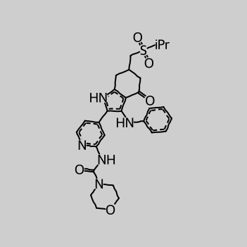 CC(C)S(=O)(=O)CC1CC(=O)c2c([nH]c(-c3ccnc(NC(=O)N4CCOCC4)c3)c2Nc2ccccc2)C1